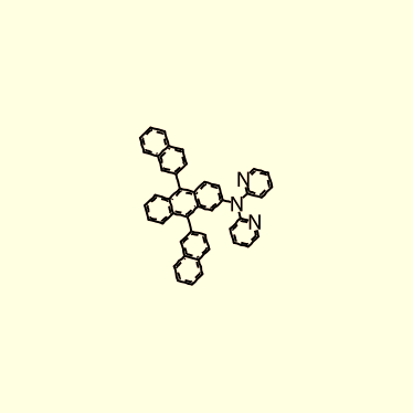 c1ccc(N(c2ccc3c(-c4ccc5ccccc5c4)c4ccccc4c(-c4ccc5ccccc5c4)c3c2)c2ccccn2)nc1